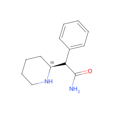 NC(=O)C(c1ccccc1)[C@@H]1CCCCN1